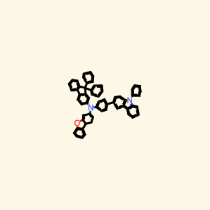 C1=C2Oc3ccccc3C2CC=C1N(c1ccc(-c2ccc3c(c2)c2ccccc2n3-c2ccccc2)cc1)c1ccc2c(c1)C(c1ccccc1)(c1ccccc1)c1ccccc1-2